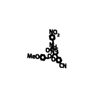 COc1ccc(COC(=O)C2=C(c3ccc(C#N)cc3)CS[C@H]3[C@H](N=Cc4ccc([N+](=O)[O-])cc4)C(=O)N23)cc1